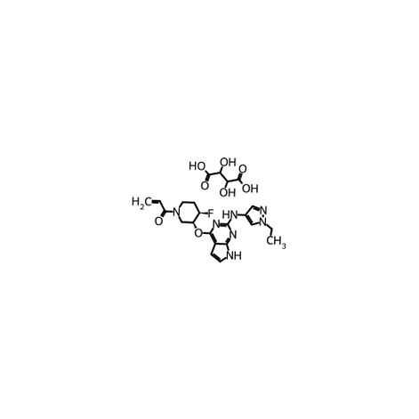 C=CC(=O)N1CC[C@@H](F)[C@@H](Oc2nc(Nc3cnn(CC)c3)nc3[nH]ccc23)C1.O=C(O)C(O)C(O)C(=O)O